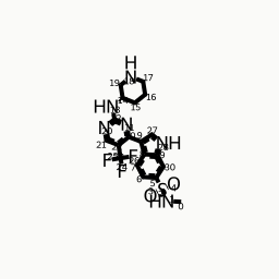 CNS(=O)(=O)c1ccc2c(-c3nc(N[C@H]4CCCNC4)ncc3C(F)(F)F)c[nH]c2c1